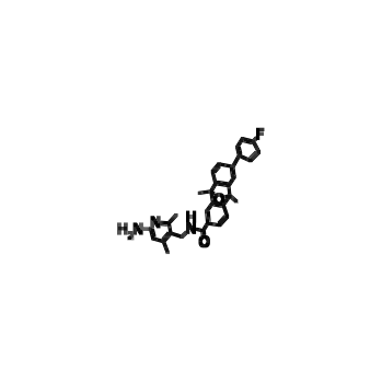 Cc1cc(N)nc(C)c1CNC(=O)c1ccc2c(c1)C1(C)OC2(C)c2cc(-c3ccc(F)cc3)ccc21